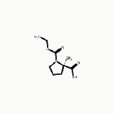 CCOC(=O)N1CCC[C@]1(C)C(=O)O